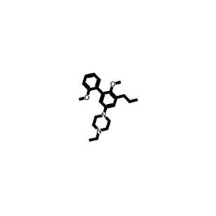 CCCc1cc(N2CCN(CC)CC2)cc(-c2ccccc2OC)c1OC